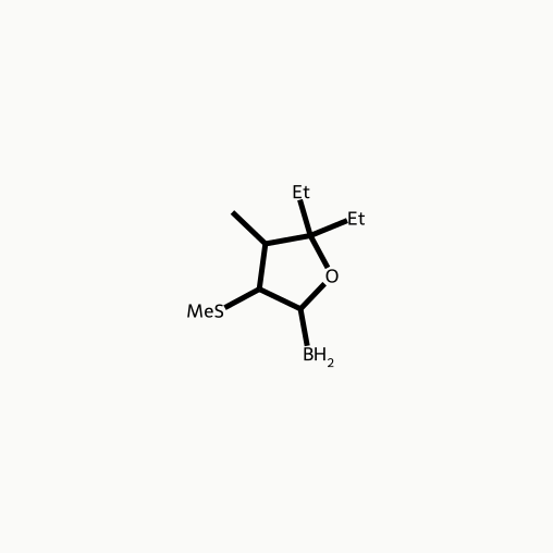 BC1OC(CC)(CC)C(C)C1SC